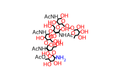 CC(=O)N/C(=C(\O)C(CCO)OC1OC(COC(C)=O)C(O)C(O)C1N)C(O)OC1C(CO)OC(OC(CCO)/C(O)=C(/NC(C)=O)C(O)OC2C(COCOC3OC(C)C(O)C(O)C3O)OC(O)C(NC(C)=O)C2O)C(NC(C)=O)C1O